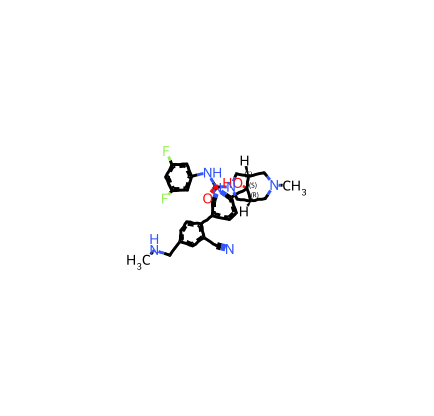 CNCc1ccc(-c2ccc([C@@]3(O)[C@@H]4CN(C)C[C@H]3CN(C(=O)Nc3cc(F)cc(F)c3)C4)nc2)c(C#N)c1